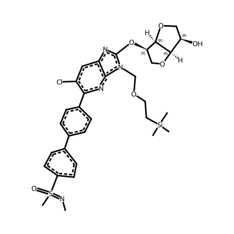 CN=S(C)(=O)c1ccc(-c2ccc(-c3nc4c(cc3Cl)nc(O[C@@H]3CO[C@H]5[C@@H]3OC[C@H]5O)n4COCC[Si](C)(C)C)cc2)cc1